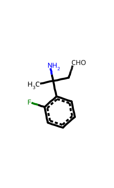 CC(N)(CC=O)c1ccccc1F